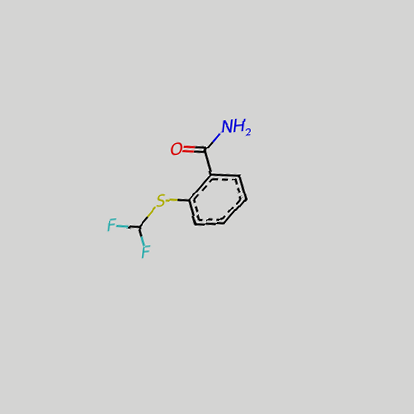 NC(=O)c1ccccc1SC(F)F